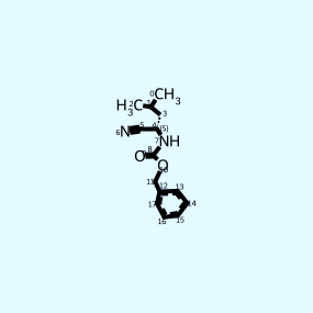 CC(C)C[C@@H](C#N)NC(=O)OCc1ccccc1